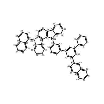 c1ccc(-c2cc(-c3cccc(-n4c5ccccc5c5ccc6c(c7ccccc7n6-c6cccc7ccccc67)c54)c3)cc(-c3ccc4ccccc4c3)n2)cc1